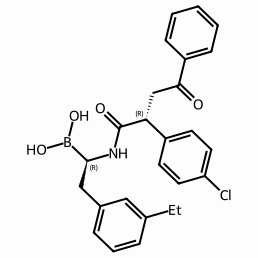 CCc1cccc(C[C@H](NC(=O)[C@H](CC(=O)c2ccccc2)c2ccc(Cl)cc2)B(O)O)c1